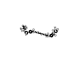 CN1C[C@H](Nc2cnn(C)c(=O)c2Br)C[C@H](c2ccc(C(=O)NCCOCCOCCOCC(=O)Nc3ccc4c(c3)CN(C3CCC(=O)NC3=O)C4=O)cc2)C1